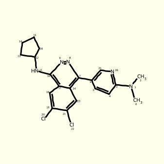 CN(C)c1ccc(-c2nnc(NC3CCCC3)c3cc(Cl)c(Cl)cc23)cn1